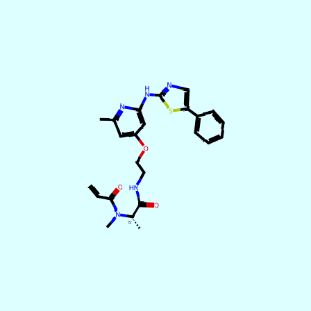 C=CC(=O)N(C)[C@@H](C)C(=O)NCCOc1cc(C)nc(Nc2ncc(-c3ccccc3)s2)c1